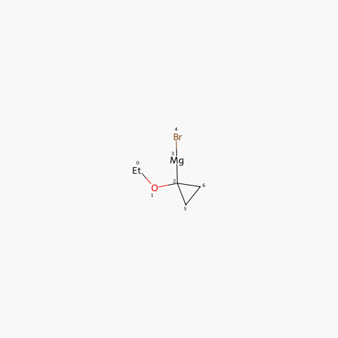 CCO[C]1([Mg][Br])CC1